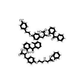 Cc1ccccc1C(=O)c1ccccc1NC(Cc1ccc(OCCNCc2nc3ccccc3o2)cc1)C(=O)O.O=C(c1ccccc1)c1ccccc1NC(Cc1ccc(OCCc2ccc(Cl)cc2)cc1)C(=O)O